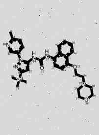 Cc1ccc(-n2nc([Si](C)(C)C)cc2NC(=O)Nc2ccc(OCCN3CCOCC3)c3ccccc23)cn1